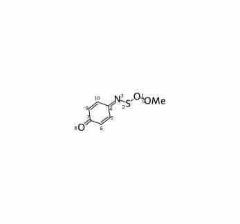 COOSN=C1C=CC(=O)C=C1